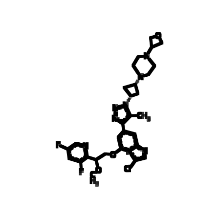 COC(COc1cc(-c2nnn([C@H]3C[C@@H](N4CCN(C5COC5)CC4)C3)c2C)cc2ncc(Cl)n12)c1ncc(F)cc1F